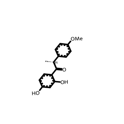 COc1ccc([C@@H](C)C(=O)c2ccc(O)cc2O)cc1